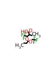 CCC(CC(F)(F)F)C(=O)O.CCCC(=O)OCC(F)(F)F